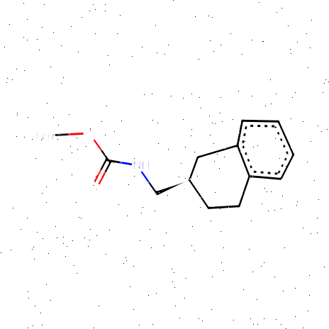 CC(C)(C)OC(=O)NC[C@@H]1CCc2ccccc2C1